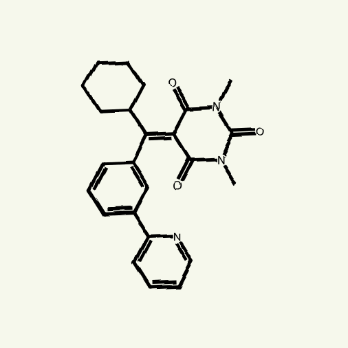 CN1C(=O)C(=C(c2cccc(-c3ccccn3)c2)C2CCCCC2)C(=O)N(C)C1=O